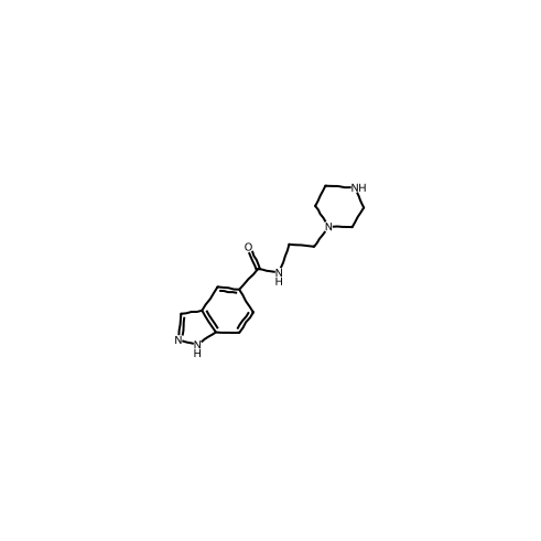 O=C(NCCN1CCNCC1)c1ccc2[nH]ncc2c1